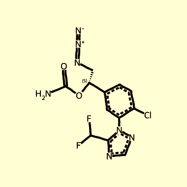 [N-]=[N+]=NC[C@@H](OC(N)=O)c1ccc(Cl)c(-n2ncnc2C(F)F)c1